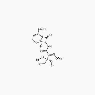 CCOC(CBr)(OCC)C(=NOC)C(=O)NC1C(=O)N2C(C(=O)O)=CCS[C@@H]12